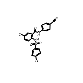 N#Cc1ccc(NC(=O)c2cc(Cl)ccc2NS(=O)(=O)c2ccc(Cl)cc2)cc1